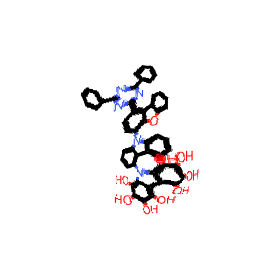 Oc1c(O)c(O)c2c(c1O)c1c(O)c(O)c(O)c(O)c1n2-c1cccc2c1c1ccccc1n2-c1ccc(-c2nc(-c3ccccc3)nc(-c3ccccc3)n2)c2c1oc1ccccc12